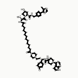 Cc1ncsc1-c1ccc(CNC(=O)[C@@H]2C[C@@H](O)CN2C(=O)[C@@H](NC(=O)CCCCCCCCCCCCC(=O)N2CCN(CC[C@H](NC(=O)C3(N)CCN(c4ncnc5[nH]ccc45)CC3)c3ccc(Cl)cc3)CC2)C(C)(C)C)cc1